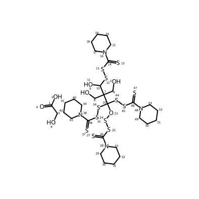 O=C(O)CO.OCC(CO)(C(O)SSC(=S)N1CCCCC1)C(OSSC(=S)N1CCCCC1)(SSC(=S)N1CCCCC1)SSC(=S)N1CCCCC1